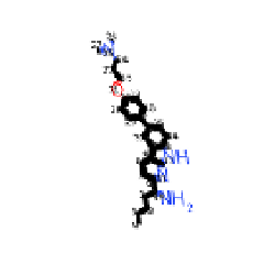 CCCCC(N)c1ccc2c(n1)[nH]c1ccc(-c3ccc(OCCCN(C)C)cc3)cc12